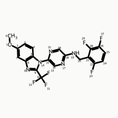 COc1ccc2c(c1)nc(C(F)(F)F)n2-c1cnc(NCc2c(F)ccc(F)c2F)cn1